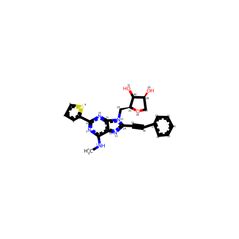 CNc1nc(-c2cccs2)nc2c1nc(C#Cc1ccccc1)n2C[C@@H]1OC[C@H](O)C1O